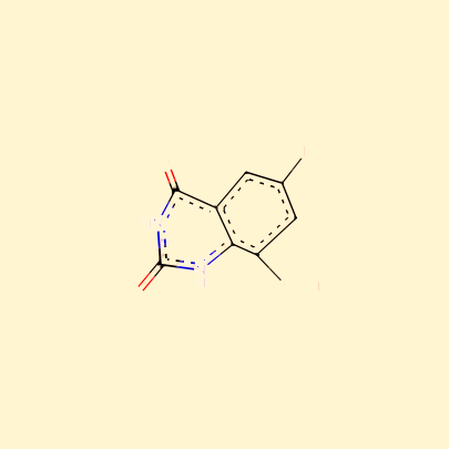 CCc1cc(S(=O)(=O)O)c2[nH]c(=O)[nH]c(=O)c2c1